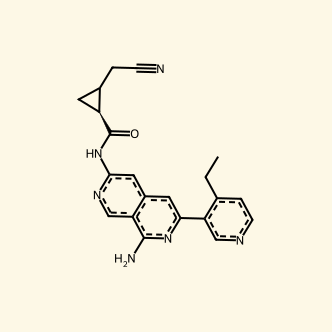 CCc1ccncc1-c1cc2cc(NC(=O)[C@H]3CC3CC#N)ncc2c(N)n1